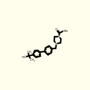 CCCCC(=O)N1CCN(Cc2ccc(-c3ccc(C(C)(C)O)cc3)cc2)CC1